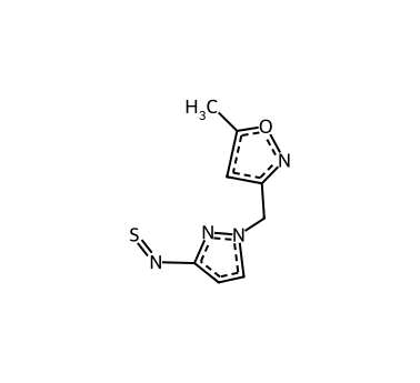 Cc1cc(Cn2ccc(N=S)n2)no1